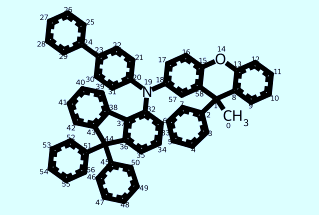 CC1(c2ccccc2)c2ccccc2Oc2ccc(N(c3ccc(-c4ccccc4)cc3)c3cccc4c3-c3ccccc3C4(c3ccccc3)c3ccccc3)cc21